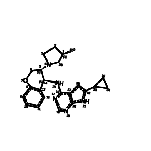 F[C@@H]1CCN([C@H]2COc3ccccc3[C@@H]2Nc2ncnc3[nH]c(C4CC4)cc23)C1